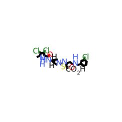 Cc1[nH]c(C(=O)NC2[C@H]3CN(c4nc(CC(=O)NCc5cccc(Cl)c5)c(C(=O)O)s4)C[C@@H]23)c(Cl)c1Cl